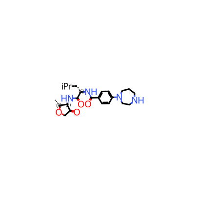 CC(C)C[C@H](NC(=O)c1ccc(N2CCCNCC2)cc1)C(=O)N[C@@H]1C(=O)CO[C@@H]1C